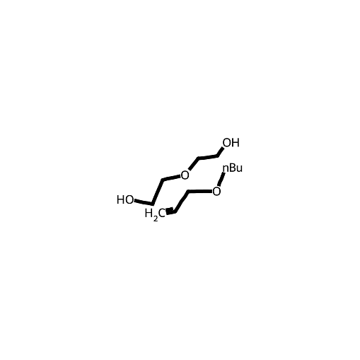 C=CCOCCCC.OCCOCCO